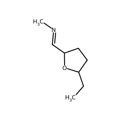 CCC1CCC(/C=N/C)O1